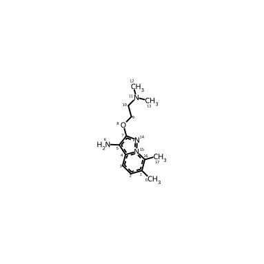 Cc1ccc2c(N)c(OCCN(C)C)nn2c1C